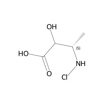 C[C@H](NCl)C(O)C(=O)O